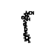 N#Cc1ccc(C(=O)NCCOCCOCCOc2ccc(I)cc2)s1